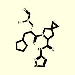 O=CN(O)C[C@@H](CC1CCCC1)C(=O)N1CC2(CC2)CC1C(=O)Nc1cc[nH]n1